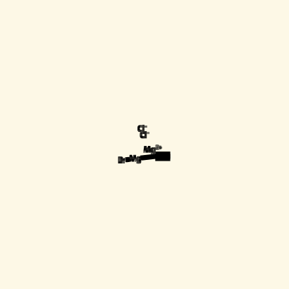 C#[C][Mg][Br].[Cl-].[Cl-].[Mg+2]